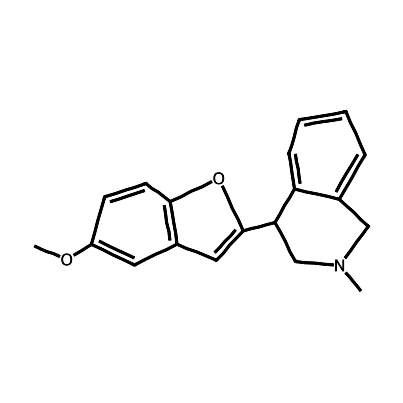 COc1ccc2oc(C3CN(C)Cc4ccccc43)cc2c1